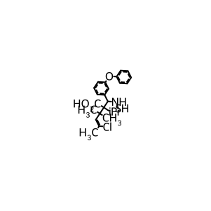 CC(Cl)=CC(C)(C)C(C(=O)O)(C(C)C)C(NS)c1cccc(Oc2ccccc2)c1